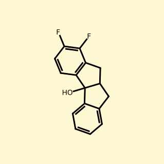 OC12c3ccccc3CC1Cc1c2ccc(F)c1F